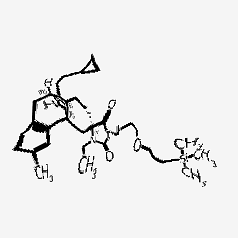 CCN1C(=O)N(COCC[Si](C)(C)C)C(=O)[C@@]12CC[C@@]1(O)[C@H]3Cc4ccc(C)cc4[C@@]1(CCN3CC1CC1)C2